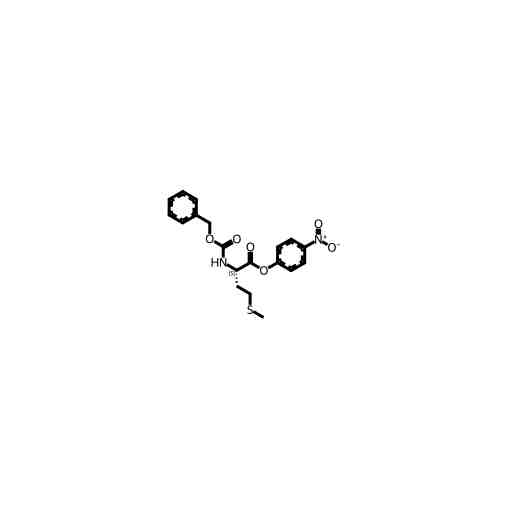 CSCC[C@H](NC(=O)OCc1ccccc1)C(=O)Oc1ccc([N+](=O)[O-])cc1